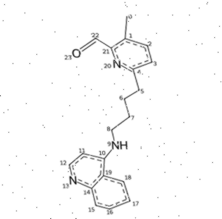 Cc1ccc(CCCCNc2ccnc3ccccc23)nc1C=O